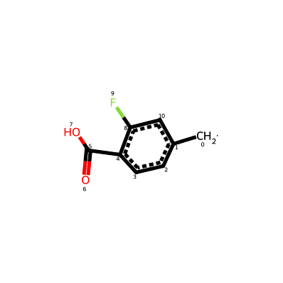 [CH2]c1ccc(C(=O)O)c(F)c1